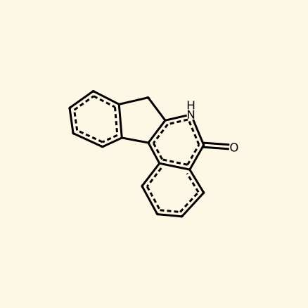 O=c1[nH]c2c(c3ccccc13)-c1ccccc1C2